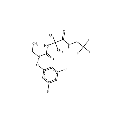 CCN(Oc1cc(Cl)cc(Br)c1)C(=O)NC(C)(C)C(=O)NCC(F)(F)F